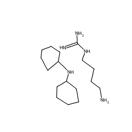 C1CCC(NC2CCCCC2)CC1.N=C(N)NCCCCN